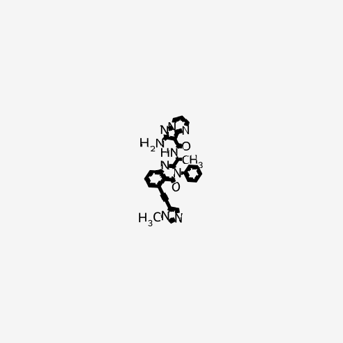 CC(NC(=O)c1c(N)nn2cccnc12)c1nc2cccc(C#Cc3cncn3C)c2c(=O)n1-c1ccccc1